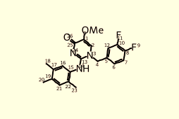 COc1cn(Cc2ccc(F)c(F)c2)c(Nc2cc(C)c(C)cc2C)nc1=O